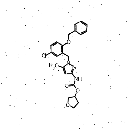 Cc1cc(NC(=O)OC2CCOC2)nn1Cc1cc(Cl)ccc1OCc1ccccc1